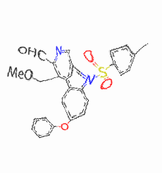 COCc1c(C=O)ncc2c1c1cc(Oc3ccccc3)ccc1n2S(=O)(=O)c1ccc(C)cc1